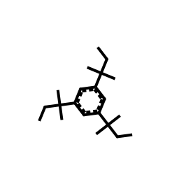 CCC(C)(C)c1cc(C(C)(C)CC)cc(C(C)(C)CC)c1